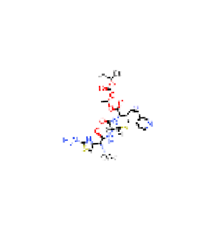 CCC(CC)OC(=O)OC(C)OC(=O)C1=C(/C=C\c2cccnc2)CS[C@H]2[C@H](NC(=O)C(=NOC(C)=O)c3csc(N)n3)C(=O)N12